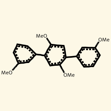 COc1cccc(-c2cc(OC)c(-c3cccc(OC)c3)cc2OC)c1